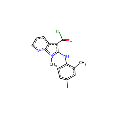 Cc1cc(I)ccc1Nc1c(C(=O)Cl)c2cccnc2n1C